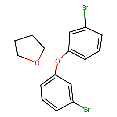 Brc1cccc(Oc2cccc(Br)c2)c1.C1CCOC1